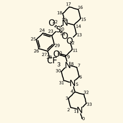 CN1CCC(N2CCN(C(=O)COCC3CCCCN3S(=O)(=O)c3cccc(C(F)(F)F)c3)CC2)CC1